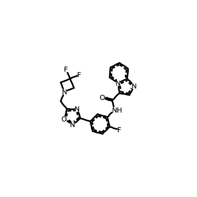 O=C(Nc1cc(-c2noc(CN3CC(F)(F)C3)n2)ccc1F)c1cnc2ccccn12